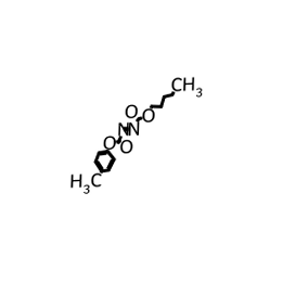 CCCCCOC(=O)/N=N/C(=O)Oc1ccc(C)cc1